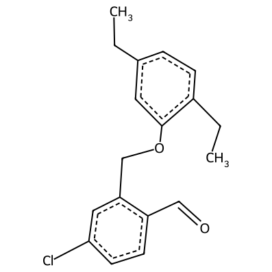 CCc1ccc(CC)c(OCc2cc(Cl)ccc2C=O)c1